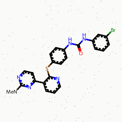 CNc1nccc(-c2cccnc2Sc2ccc(NC(=O)Nc3cccc(Br)c3)cc2)n1